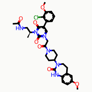 COc1ccc2c(c1)CCN(C1CCN(C(=O)Cn3cc(-c4cccc(OC)c4Cl)c(=O)n([C@@H](C)CNC(C)=O)c3=O)CC1)C(=O)N2